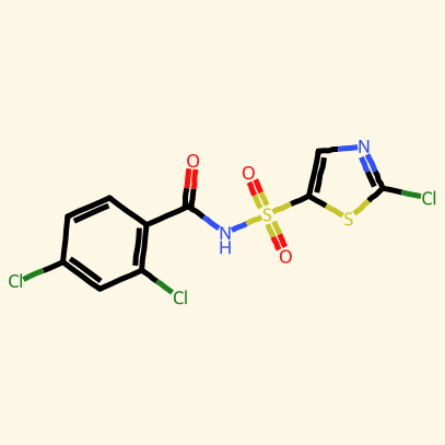 O=C(NS(=O)(=O)c1cnc(Cl)s1)c1ccc(Cl)cc1Cl